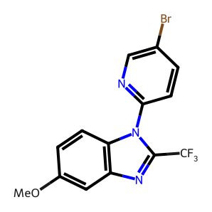 COc1ccc2c(c1)nc(C(F)(F)F)n2-c1ccc(Br)cn1